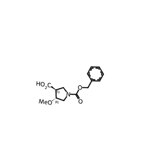 CO[C@H]1CN(C(=O)OCc2ccccc2)C[C@@H]1C(=O)O